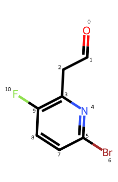 O=CCc1nc(Br)ccc1F